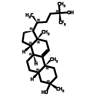 C[C@H](CC[C@](C)(O)C(F)(F)F)[C@H]1CC[C@H]2[C@@H]3CC[C@H]4C[C@@](C)(O)CC[C@]4(C)C3=CC[C@]12C